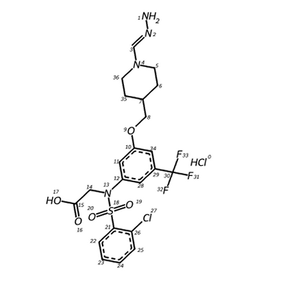 Cl.NN=CN1CCC(COc2cc(N(CC(=O)O)S(=O)(=O)c3ccccc3Cl)cc(C(F)(F)F)c2)CC1